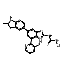 CCNC(=O)Nc1nc2cc(-c3cnc4c(c3)CC(C)N4)cc(-c3ncccc3F)c2[nH]1